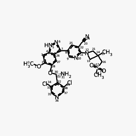 COc1cc2[nH]nc(-c3cnc(N4CC(C)(CS(C)(=O)=O)C4)c(C#N)c3)c2cc1O[C@H](N)c1c(Cl)cncc1Cl